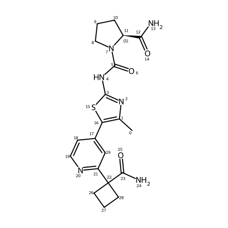 Cc1nc(NC(=O)N2CCC[C@H]2C(N)=O)sc1-c1ccnc(C2(C(N)=O)CCC2)c1